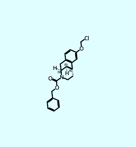 O=C(OCc1ccccc1)N1CC[C@@]23CCCC[C@@H]2[C@@H]1Cc1ccc(OCCl)cc13